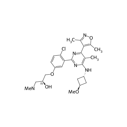 CNC[C@H](O)COc1ccc(Cl)c(-c2nc(N[C@H]3C[C@H](OC)C3)c(C)c(-c3c(C)noc3C)n2)c1